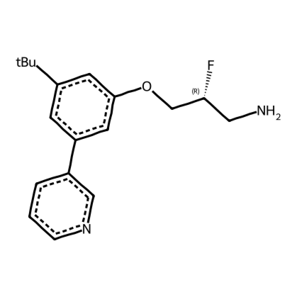 CC(C)(C)c1cc(OC[C@H](F)CN)cc(-c2cccnc2)c1